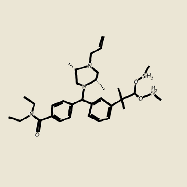 C=CCN1C[C@H](C)N(C(c2ccc(C(=O)N(CC)CC)cc2)c2cccc(C(C)(C)C(O[SiH2]C)O[SiH2]C)c2)C[C@@H]1C